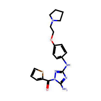 Nc1nc(Nc2ccc(OCCN3CCCC3)cc2)nn1C(=O)c1cccs1